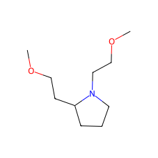 COCCC1CCCN1CCOC